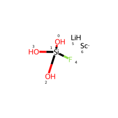 O[Si](O)(O)F.[LiH].[Sc]